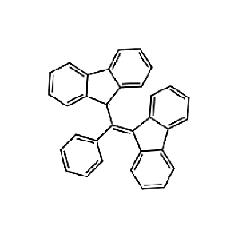 c1ccc(C([C]2c3ccccc3-c3ccccc32)=C2c3ccccc3-c3ccccc32)cc1